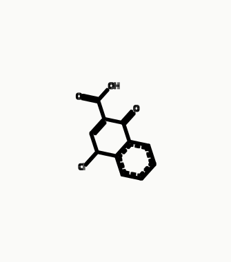 O=C(O)C1=CC(Cl)c2ccccc2C1=O